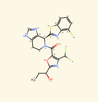 CC[C@H](O)c1nc(C(F)F)c(C(=O)N2CCc3[nH]cnc3[C@H]2c2nc3c(F)cccc3s2)o1